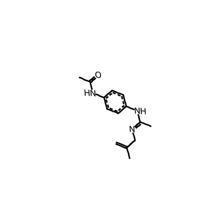 C=C(C)CN=C(C)Nc1ccc(NC(C)=O)cc1